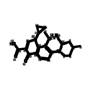 COc1c(N2CCC(C)CC2N)ccc2c(=O)c(C(=O)O)cn(C3CC3)c12